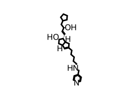 O[C@H](/C=C/[C@@H]1[C@H]2CC(CCCCCNCc3ccncc3)=C[C@H]2C[C@H]1O)CC1CCCC1